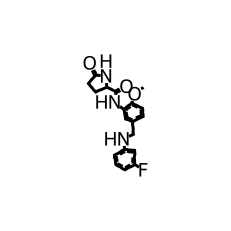 COc1ccc(CNc2cccc(F)c2)cc1NC(=O)C1CCC(=O)N1